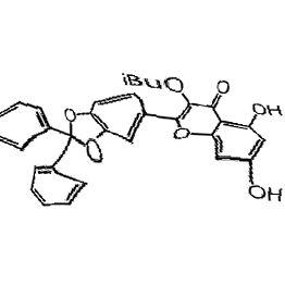 CC(C)COc1c(-c2ccc3c(c2)OC(c2ccccc2)(c2ccccc2)O3)oc2cc(O)cc(O)c2c1=O